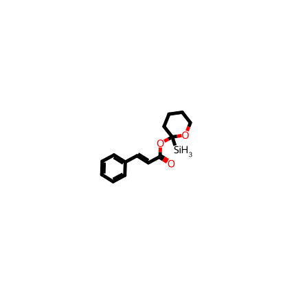 O=C(/C=C/c1ccccc1)OC1([SiH3])CCCCO1